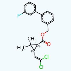 CC1(C)[C@@H](C=C(Cl)Cl)[C@@H]1C(=O)OCc1cccc(-c2cccc(F)c2)c1